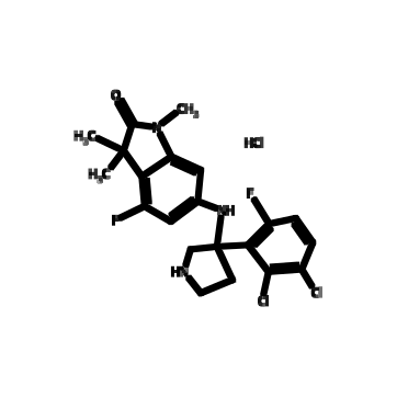 CN1C(=O)C(C)(C)c2c(F)cc(NC3(c4c(F)ccc(Cl)c4Cl)CCNC3)cc21.Cl